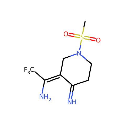 CS(=O)(=O)N1CCC(=N)/C(=C(\N)C(F)(F)F)C1